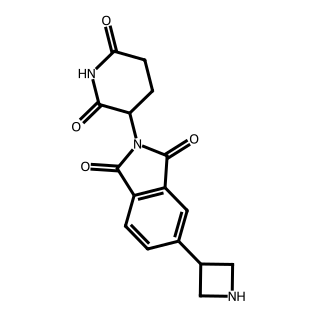 O=C1CCC(N2C(=O)c3ccc(C4CNC4)cc3C2=O)C(=O)N1